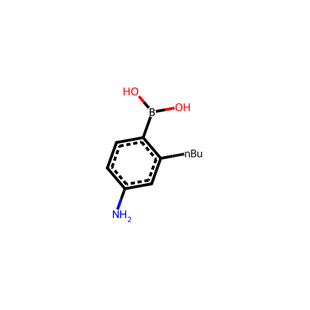 CCCCc1cc(N)ccc1B(O)O